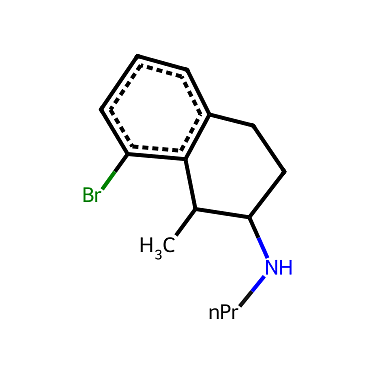 CCCNC1CCc2cccc(Br)c2C1C